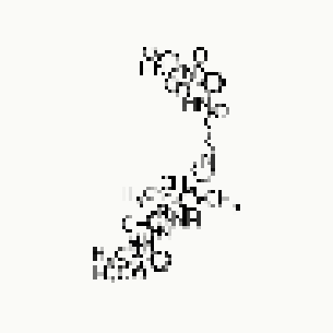 Cc1cc(Nc2ncc(Cl)c(Nc3ccccc3S(=O)(=O)C(C)C)n2)c(OC(C)C)cc1C1CCN(CCCCC(=O)Nc2cccc3c2C(=O)N(C2CCC(=O)NC2=O)C3=O)CC1